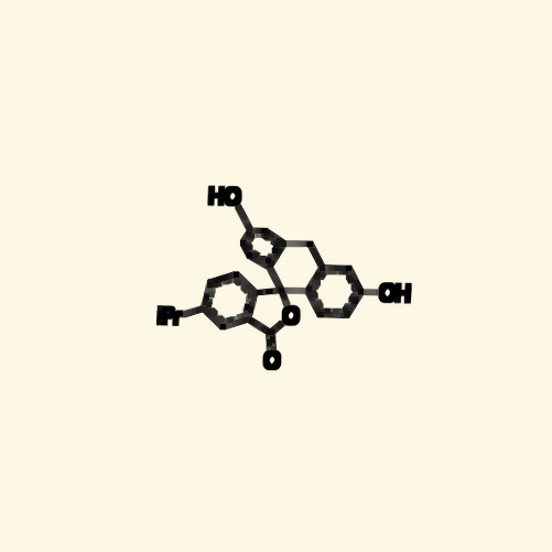 CC(C)c1ccc2c(c1)C(=O)OC21c2ccc(O)cc2Cc2cc(O)ccc21